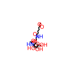 COC(=O)CCCCC(=O)NCCO[C@H]1O[C@H](CO)[C@H](O)[C@H](O)[C@@H]1NC(C)=O